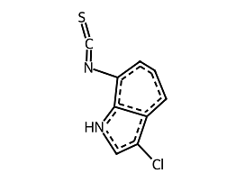 S=C=Nc1cccc2c(Cl)c[nH]c12